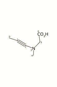 CC#CN(C)CC(=O)O